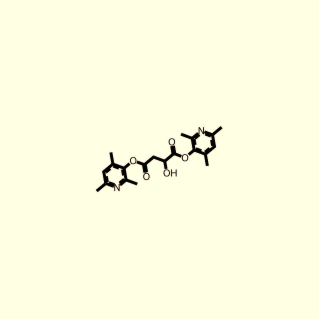 Cc1cc(C)c(OC(=O)CC(O)C(=O)Oc2c(C)cc(C)nc2C)c(C)n1